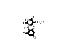 CCOC(=O)c1cn(Nc2c(Cl)cc(Cl)cc2Cl)c(=O)[nH]c1=O